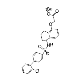 CC(C)(C)OC(=O)COc1cccc2c1CCCC2NS(=O)(=O)c1ccc(-c2ccccc2Cl)cc1